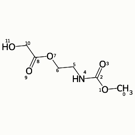 COC(=O)NCCOC(=O)CO